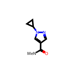 CNC(=O)c1cnn(C2CC2)c1